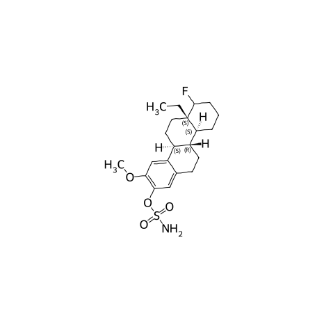 CC[C@]12CC[C@@H]3c4cc(OC)c(OS(N)(=O)=O)cc4CC[C@H]3[C@@H]1CCCC2F